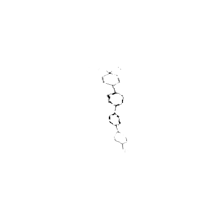 CCCCCC1(C#N)CCC(c2ccc(-c3ccc(C4OCC(CCC)CO4)cc3)cc2)CC1